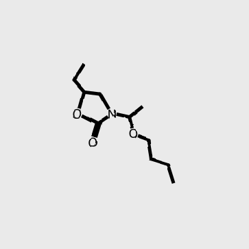 CCCCOC(C)N1CC(CC)OC1=O